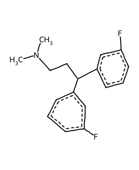 CN(C)CCC(c1cccc(F)c1)c1cccc(F)c1